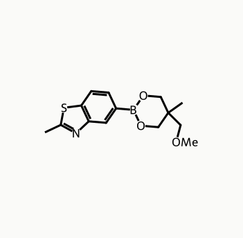 COCC1(C)COB(c2ccc3sc(C)nc3c2)OC1